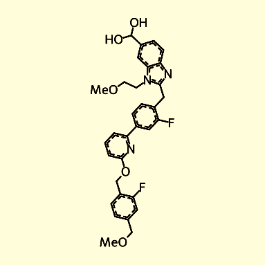 COCCn1c(Cc2ccc(-c3cccc(OCc4ccc(COC)cc4F)n3)cc2F)nc2ccc(C(O)O)cc21